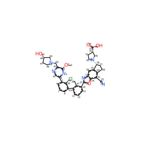 COc1nc(-c2cccc(-c3cccc(-c4nc5cc6c(c(C#N)c5o4)CC[C@H]6N4CC[C@@H](C(=O)O)C4)c3C)c2Cl)cnc1CN1CC[C@@H](O)C1